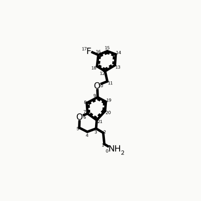 NCCC1CCOc2cc(OCc3cccc(F)c3)ccc21